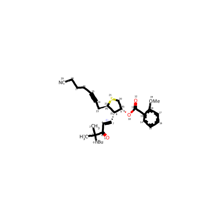 CCCCC(C)(C)C(=O)/C=C/[C@H]1[C@@H](OC(=O)c2ccccc2OC)CS[C@@H]1CC#CCCCC#N